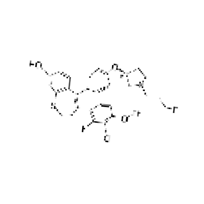 CCOc1ccc(C2=C(c3ccc(O[C@H]4CCN(CCCF)C4)cc3)c3ccc(O)cc3SCC2)c(F)c1Cl